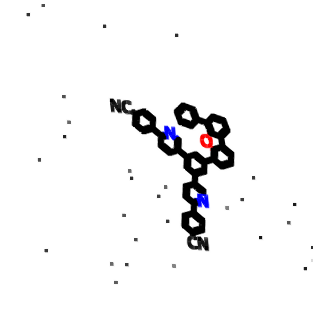 N#Cc1ccc(-c2ccc(-c3cc(-c4ccc(-c5ccc(C#N)cc5)nc4)cc(-c4cccc5c4oc4c(-c6ccccc6)cccc45)c3)cn2)cc1